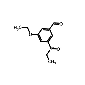 CCOc1cc(C=O)cc([S+]([O-])CC)c1